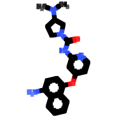 CN(C)C1CCN(C(=O)Nc2cc(Oc3ccc(N)c4ccccc34)ccn2)C1